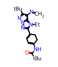 C=Nc1c(C(C)(C)C)nn2nc(C3=CC=C(NC(=O)C(C)(C)C)CC3)n(CC)c12